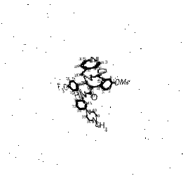 COc1ccc2c(c1)C(=O)N(Cc1ccncc1)[C@@H](c1ccc(C(F)(F)F)cc1)[C@@H]2C(=O)Nc1cccc(N2CCN(C)CC2)c1